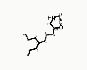 CCCC(CCC)CCCC1CNCCO1